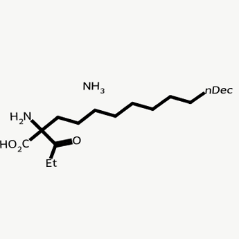 CCCCCCCCCCCCCCCCCCC(N)(C(=O)O)C(=O)CC.N